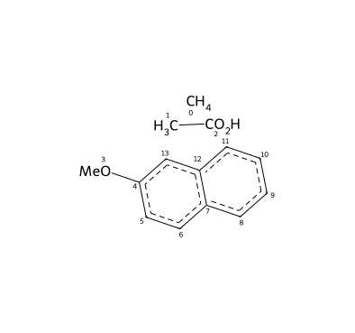 C.CC(=O)O.COc1ccc2ccccc2c1